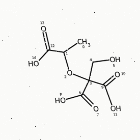 CC(OC(CO)(C(=O)O)C(=O)O)C(=O)O